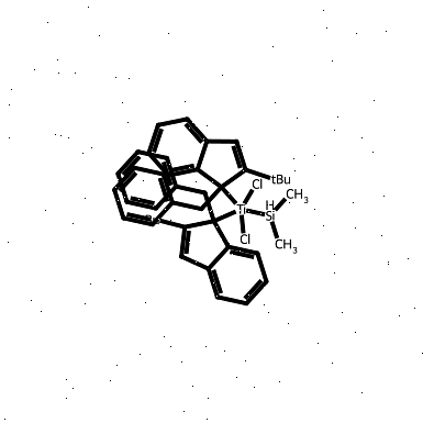 C[SiH](C)[Ti]([Cl])([Cl])([C]1(Cc2ccccc2)C(C(C)(C)C)=Cc2ccccc21)[C]1(Cc2ccccc2)C(C(C)(C)C)=Cc2ccccc21